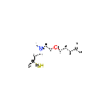 CC(C)CCCOCCN(C)CC[C@H](C)S